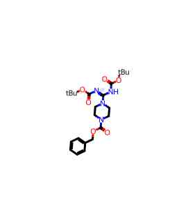 CC(C)(C)OC(=O)/N=C(/NC(=O)OC(C)(C)C)N1CCN(C(=O)OCc2ccccc2)CC1